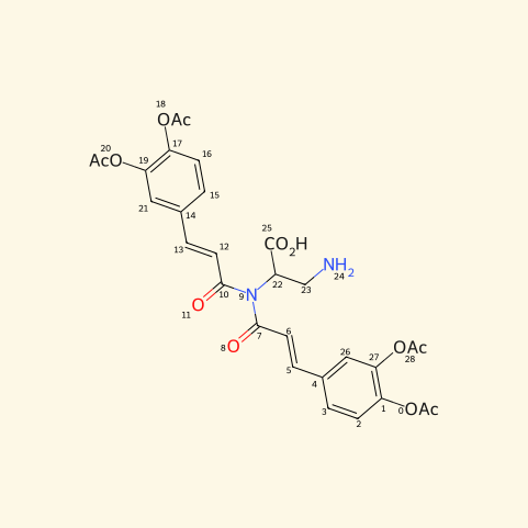 CC(=O)Oc1ccc(C=CC(=O)N(C(=O)C=Cc2ccc(OC(C)=O)c(OC(C)=O)c2)C(CN)C(=O)O)cc1OC(C)=O